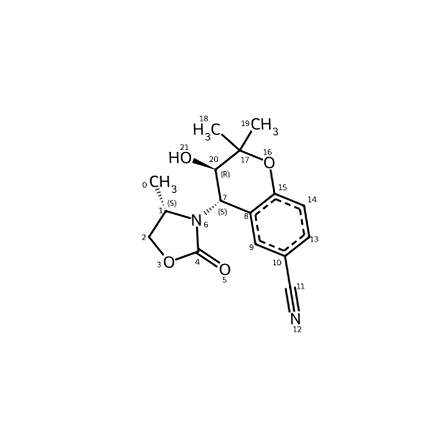 C[C@H]1COC(=O)N1[C@H]1c2cc(C#N)ccc2OC(C)(C)[C@@H]1O